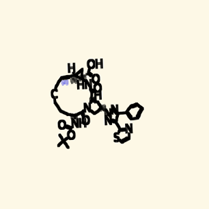 CC(C)(C)OC(=O)N[C@H]1CCCCC/C=C\[C@@H]2C[C@@]2(C(=O)O)NC(=O)[C@@H]2C[C@H](n3nc(-c4ccccc4)c(-c4nccs4)n3)CN2C1=O